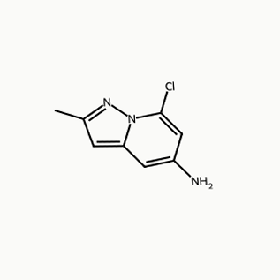 Cc1cc2cc(N)cc(Cl)n2n1